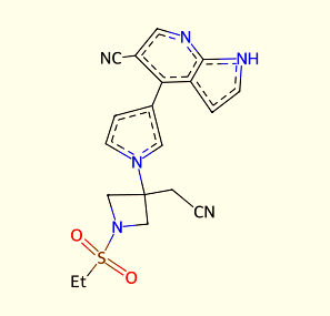 CCS(=O)(=O)N1CC(CC#N)(n2ccc(-c3c(C#N)cnc4[nH]ccc34)c2)C1